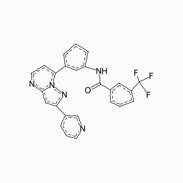 O=C(Nc1cccc(-c2ccnc3cc(-c4cccnc4)nn23)c1)c1cccc(C(F)(F)F)c1